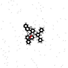 c1ccc(-c2ccc(N(c3cc(-c4ccccc4)cc(-c4ccccc4)c3)c3ccc4oc5c6ccccc6ccc5c4c3-c3nc4ccccc4o3)cc2)cc1